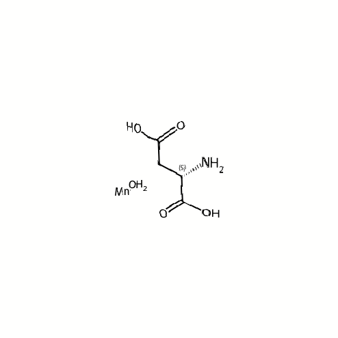 N[C@@H](CC(=O)O)C(=O)O.O.[Mn]